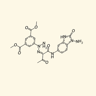 COC(=O)c1cc(C(=O)OC)cc(N(N)/N=C(/C(C)=O)C(=O)Nc2ccc3c(c2)[nH]c(=O)n3N)c1